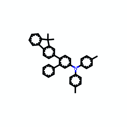 Cc1ccc(N(c2ccc(C)cc2)c2ccc(-c3ccc4c(c3)C(C)(C)c3ccccc3-4)c(-c3ccccc3)c2)cc1